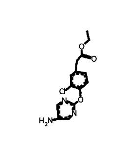 CCOC(=O)Cc1ccc(Oc2ncc(N)cn2)c(Cl)c1